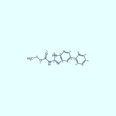 CCOC(=O)Nc1nc2cc(-c3ccccn3)ccc2[nH]1